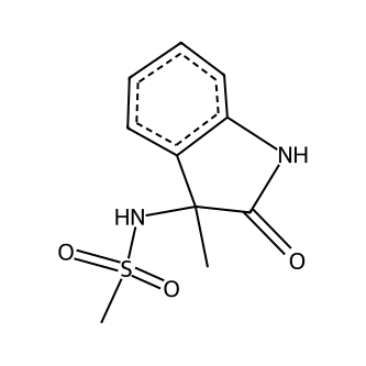 CC1(NS(C)(=O)=O)C(=O)Nc2ccccc21